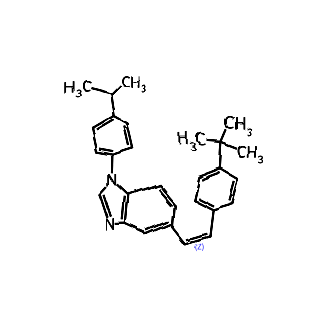 CC(C)c1ccc(-n2cnc3cc(/C=C\c4ccc(C(C)(C)C)cc4)ccc32)cc1